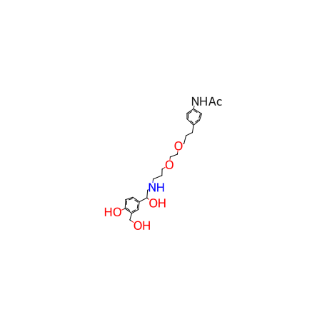 CC(=O)Nc1ccc(CCCOCCOCCCNCC(O)c2ccc(O)c(CO)c2)cc1